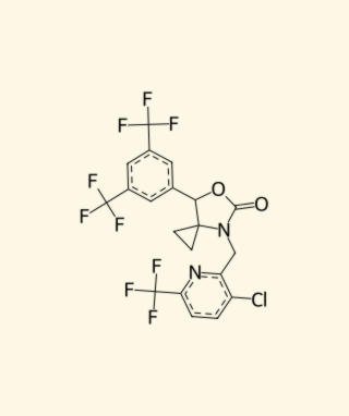 O=C1OC(c2cc(C(F)(F)F)cc(C(F)(F)F)c2)C2(CC2)N1Cc1nc(C(F)(F)F)ccc1Cl